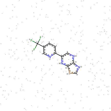 FC(F)(F)c1ccc(-c2cnc3ncsc3n2)nc1